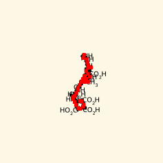 Cc1cc(OCCCC(=O)NCCNC(=O)[C@H](CS(=O)(=O)O)NC(=O)CN2CCN(CC(=O)O)CCN(CC(=O)O)CCN(CC(=O)O)CC2)cc(C)c1S(=O)(=O)N[C@H](C(=O)O)C(=O)c1ccc2c(cnn2CCCNc2ncc[nH]2)c1